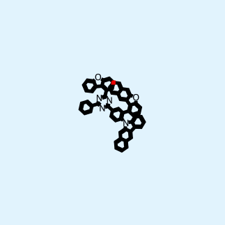 c1ccc(-c2nc(-c3ccc(-n4c5ccccc5c5cc6ccccc6cc54)c(-c4cccc5oc6cc7ccccc7cc6c45)c3)nc(-c3cccc4oc5ccccc5c34)n2)cc1